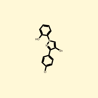 Oc1ccccc1-n1c[c]([Zn])c(-c2ccc(Cl)cc2)n1